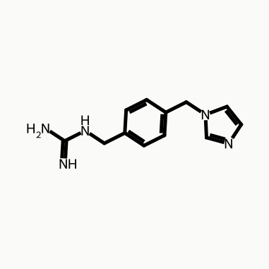 N=C(N)NCc1ccc(Cn2ccnc2)cc1